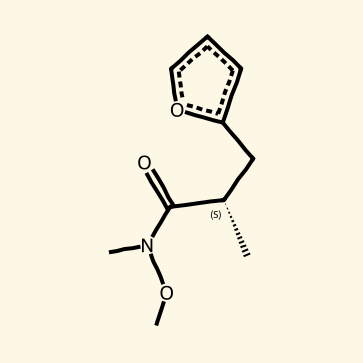 CON(C)C(=O)[C@@H](C)Cc1ccco1